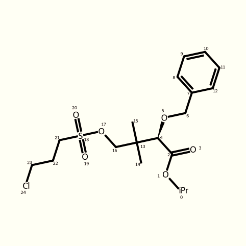 CC(C)OC(=O)[C@H](OCc1ccccc1)C(C)(C)COS(=O)(=O)CCCCl